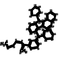 C=C(/C=C\C=C/C)c1cccc(N(c2ccccc2)c2cccc3c2c2ccc4ccccc4c2n3-c2ccccc2)c1